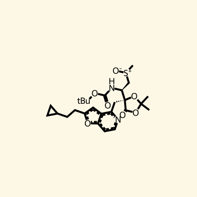 C[S+]([O-])C[C@H](NC(=O)OC(C)(C)C)[C@@]1(Cc2nccc3oc(CCC4CC4)cc23)OC(C)(C)OC1=O